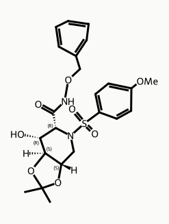 COc1ccc(S(=O)(=O)N2C[C@@H]3OC(C)(C)O[C@H]3[C@H](O)[C@@H]2C(=O)NOCc2ccccc2)cc1